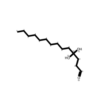 CCCCCCCCCCC(O)(O)CCC=O